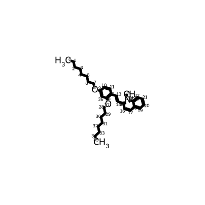 CCCCCCCCOc1ccc(C=Cc2ccc3ccccc3[n+]2C)c(OCCCCCCCC)c1